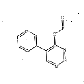 O=POc1nnncc1-c1ccccc1